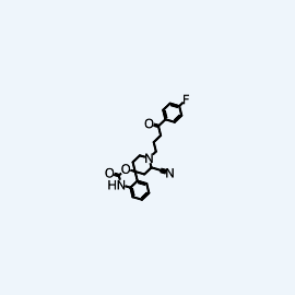 N#CC1CC2(CCN1CCCC(=O)c1ccc(F)cc1)OC(=O)Nc1ccccc12